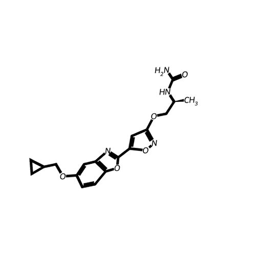 C[C@@H](COc1cc(-c2nc3cc(OCC4CC4)ccc3o2)on1)NC(N)=O